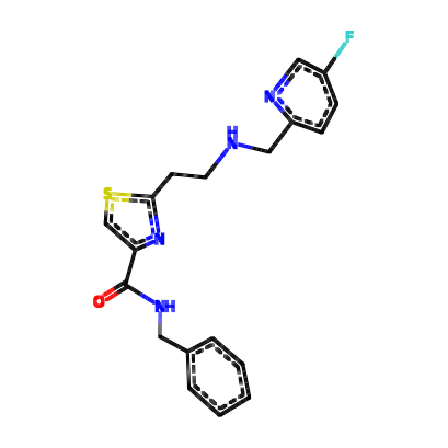 O=C(NCc1ccccc1)c1csc(CCNCc2ccc(F)cn2)n1